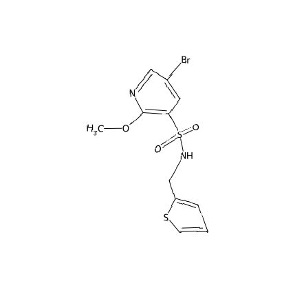 COc1ncc(Br)cc1S(=O)(=O)NCc1cccs1